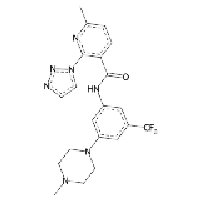 Cc1ccc(C(=O)Nc2cc(N3CCN(C)CC3)cc(C(F)(F)F)c2)c(-n2ccnn2)n1